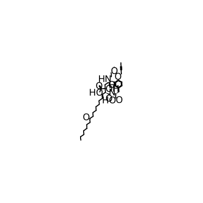 CC#CCOc1ccc(C[C@H](NC(=O)[C@@H](/C=C/CCCCCCC(=O)CCCCCCC)[C@@](O)(CC(=O)NCCOC)C(=O)O)C(=O)O)cc1